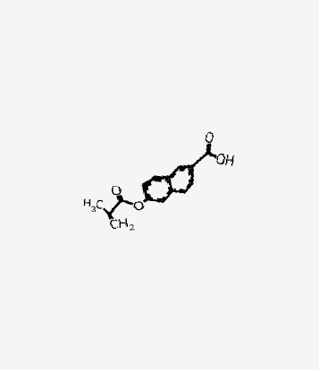 C=C(C)C(=O)Oc1ccc2cc(C(=O)O)ccc2c1